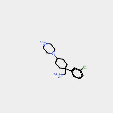 NCC1(c2cccc(Cl)c2)CCC(N2CCNCC2)CC1